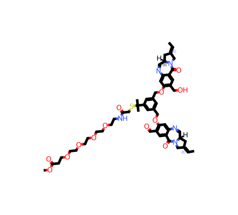 C/C=C1\C[C@H]2C=Nc3cc(OCc4cc(COc5cc6c(cc5CO)C(=O)N5C/C(=C/C)C[C@H]5C=N6)cc(C(C)(C)SCC(=O)NCCOCCOCCOCCOCCC(=O)OC)c4)c(C=O)cc3C(=O)N2C1